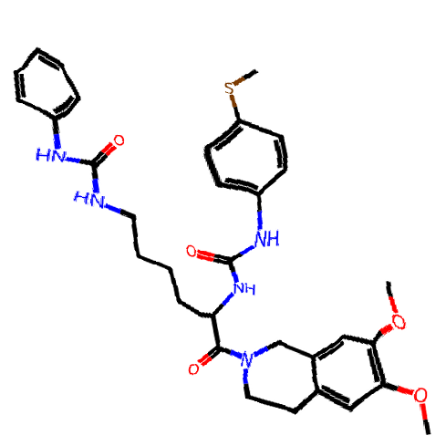 COc1cc2c(cc1OC)CN(C(=O)C(CCCCNC(=O)Nc1ccccc1)NC(=O)Nc1ccc(SC)cc1)CC2